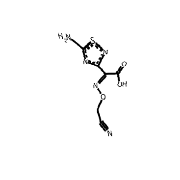 N#CCO/N=C(\C(=O)O)c1nsc(N)n1